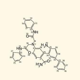 NC(=O)c1ccc(N(CC(=O)Nc2ccccc2)CC(=O)Nc2ccccc2)cc1-c1cc(-c2ccccc2)ccc1N